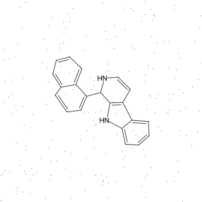 C1=Cc2c([nH]c3ccccc23)C(c2cccc3ccccc23)N1